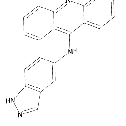 c1ccc2c(Nc3ccc4[nH]ncc4c3)c3ccccc3nc2c1